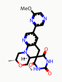 COc1cncc(-c2cnc3c(c2)CC2(C(=O)NC(=O)NC2=O)[C@H]2[C@H](C)O[C@H](C)CN32)n1